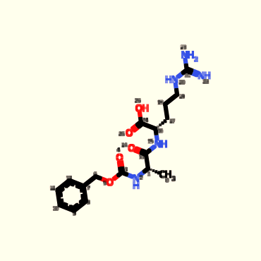 C[C@H](NC(=O)OCc1ccccc1)C(=O)N[C@@H](CCCNC(=N)N)C(=O)O